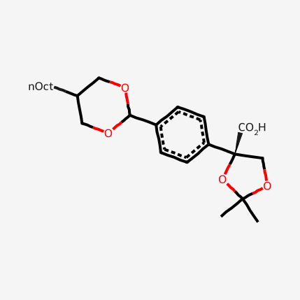 CCCCCCCCC1COC(c2ccc([C@]3(C(=O)O)COC(C)(C)O3)cc2)OC1